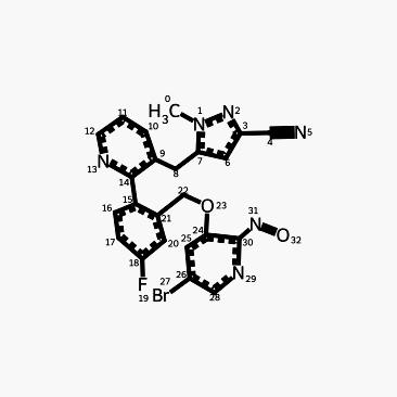 Cn1nc(C#N)cc1Cc1cccnc1-c1ccc(F)cc1COc1cc(Br)cnc1N=O